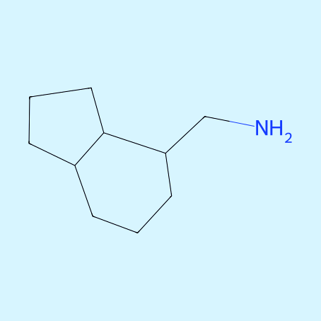 NCC1CCCC2CCCC12